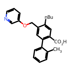 CCCCc1cc(C(=O)O)c(-c2ccccc2C)cc1COc1cccnc1